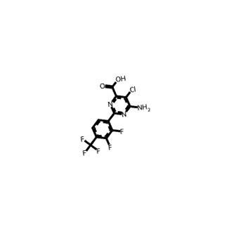 Nc1nc(-c2ccc(C(F)(F)F)c(F)c2F)nc(C(=O)O)c1Cl